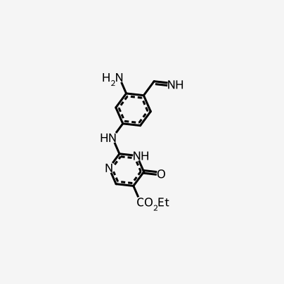 CCOC(=O)c1cnc(Nc2ccc(C=N)c(N)c2)[nH]c1=O